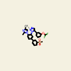 Cc1nc(C(F)(F)F)cn1-c1ccc(-c2cccc(S(C)(=O)=O)c2)cc1-n1nncc1-c1cccc(OC(F)F)c1